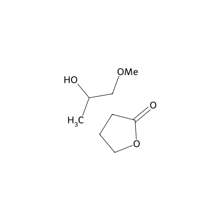 COCC(C)O.O=C1CCCO1